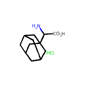 Cl.NC(C(=O)O)C12CC3CC(CC(C3)C1)C2